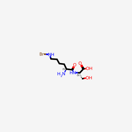 N[C@@H](CCCCNBr)C(=O)N[C@@H](CO)C(=O)O